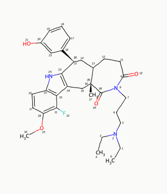 CCN(CC)CCCN1C(=O)CCC2C[C@H](c3cccc(O)c3)c3[nH]c4ccc(OC)c(F)c4c3C[C@@]2(C)C1=O